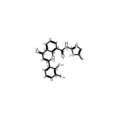 Cc1cnc(NC(=O)c2cccc3c(=O)cc(-c4cccc(F)c4F)oc23)s1